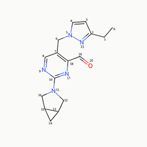 CCc1ccn(Cc2cnc(N3CC4CC4C3)nc2C=O)n1